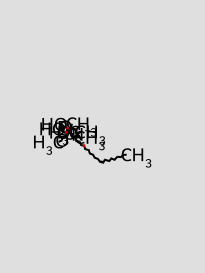 CCCCCCCC/C=C\CCCCCCCCCCC(CSC(CCC)(CCOC)OP(=O)(O)O)[N+](C)(C)C